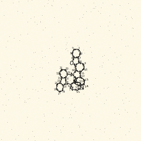 c1ccc2c(c1)oc1c2ccc2c3ccccc3n(-c3cccc4c5ccccc5n(-c5ncncn5)c34)c21